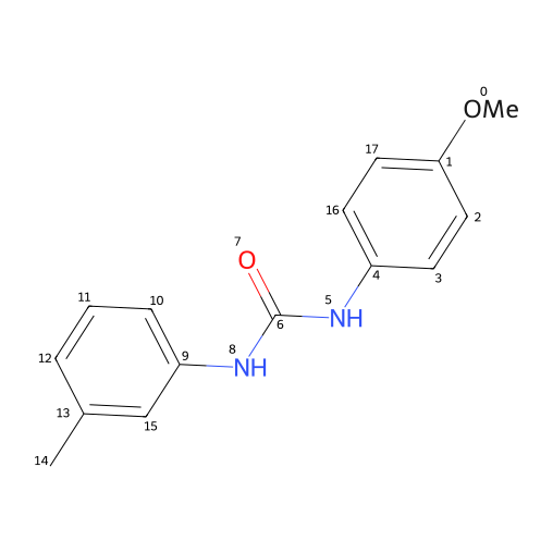 COc1ccc(NC(=O)Nc2cccc(C)c2)cc1